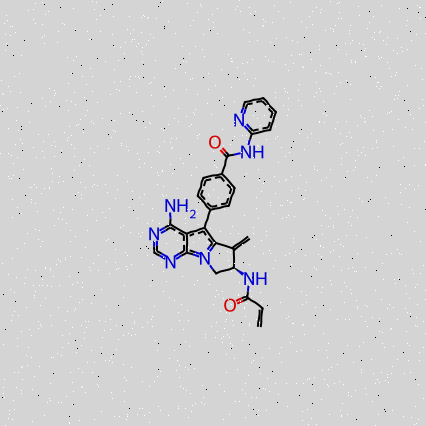 C=CC(=O)N[C@H]1Cn2c(c(-c3ccc(C(=O)Nc4ccccn4)cc3)c3c(N)ncnc32)C1=C